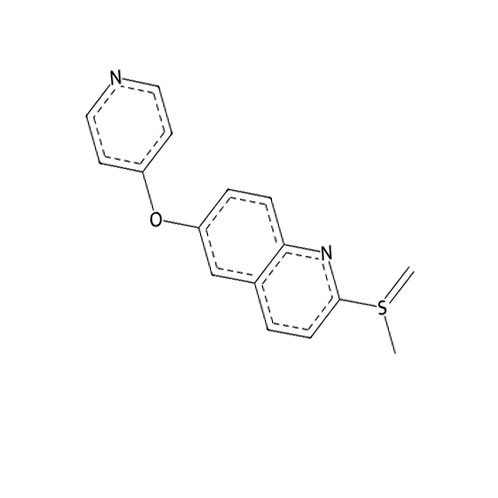 C=S(C)c1ccc2cc(Oc3ccncc3)ccc2n1